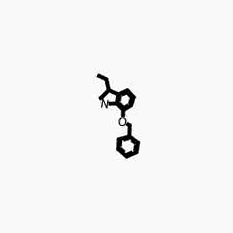 CCC1C=Nc2c(OCc3ccccc3)cccc21